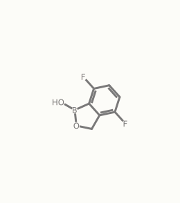 OB1OCc2c(F)ccc(F)c21